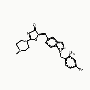 CN1CCN(C2=NC(=O)/C(=C/c3ccc4c(cnn4Cc4ccc(Br)cc4C(F)(F)F)c3)S2)CC1